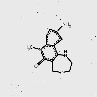 Cn1c(=O)c2c(c3cc(N)ccc31)NCCOC2